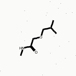 CNC(=O)COCC(C)C